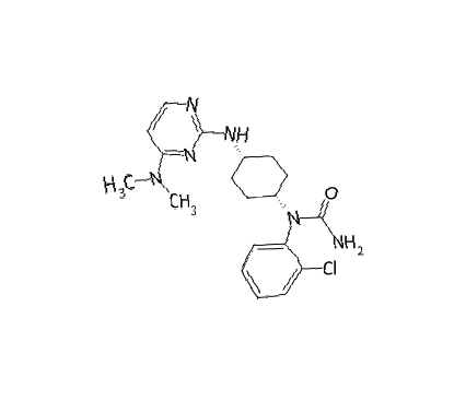 CN(C)c1ccnc(N[C@H]2CC[C@@H](N(C(N)=O)c3ccccc3Cl)CC2)n1